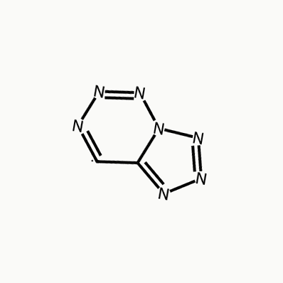 [c]1nnnn2nnnc12